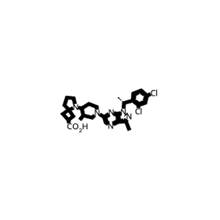 Cc1nn([C@H](C)c2ccc(Cl)cc2Cl)c2nc(N3CCC(N4CCCC45CC(C(=O)O)C5)C(C)C3)cnc12